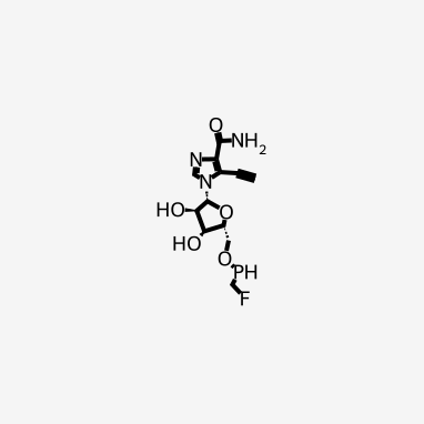 C#Cc1c(C(N)=O)ncn1[C@@H]1O[C@H](COPCF)[C@@H](O)[C@H]1O